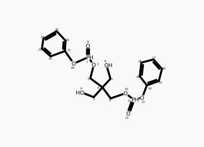 O=[PH](OCC(CO)(CO)CO[PH](=O)Oc1ccccc1)Oc1ccccc1